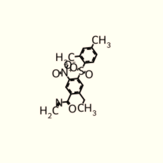 C=NC(=O)c1cc([N+](=O)[O-])c(S(=O)(=O)c2ccc(C)cc2C)cc1CC